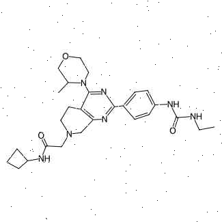 CCNC(=O)Nc1ccc(-c2nc3c(c(N4CCOCC4C)n2)CCN(CC(=O)NC2CCC2)C3)cc1